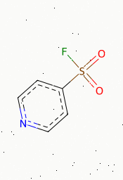 O=S(=O)(F)c1ccncc1